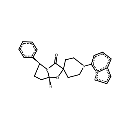 O=C1N2[C@@H](CC[C@H]2c2ccccc2)OC12CCN(c1cccc3ccnn13)CC2